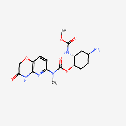 CN(C(=O)O[C@@H]1CC[C@H](N)C[C@H]1NC(=O)OC(C)(C)C)c1ccc2c(n1)NC(=O)CO2